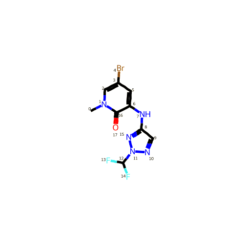 Cn1cc(Br)cc(Nc2cnn(C(F)F)n2)c1=O